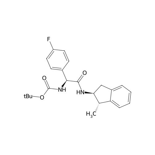 C[C@H]1c2ccccc2C[C@@H]1NC(=O)[C@@H](NC(=O)OC(C)(C)C)c1ccc(F)cc1